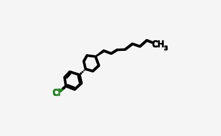 CCCCCCCC[C@H]1CC[C@H](c2ccc(Cl)cc2)CC1